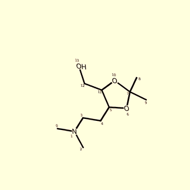 CN(C)CCC1OC(C)(C)OC1CO